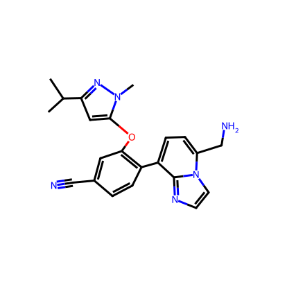 CC(C)c1cc(Oc2cc(C#N)ccc2-c2ccc(CN)n3ccnc23)n(C)n1